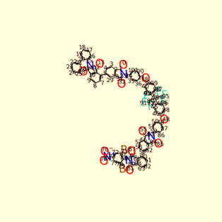 O=C1c2ccc(-c3cccc4c3C(=O)N(c3ccccc3-c3ccccc3)C4=O)cc2C(=O)N1c1ccc(Oc2ccc(C(c3ccc(Oc4ccc(N5C(=O)c6ccc(-c7cccc8c7C(=O)N(c7c(Br)cc([N+](=O)[O-])cc7Br)C8=O)cc6C5=O)cc4)cc3)(C(F)(F)F)C(F)(F)F)cc2)cc1